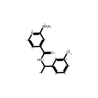 CC(=O)Nc1cc(C(=O)NC(C)c2cccc(C(F)(F)F)c2)ccn1